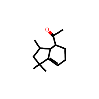 CC(=O)C1CCC=C2C1C(C)CC2(C)C